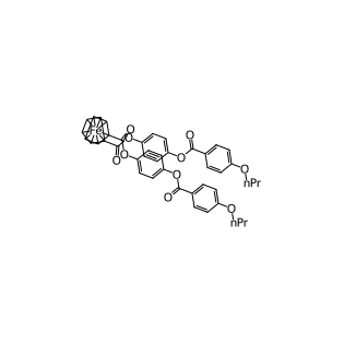 CCCOc1ccc(C(=O)Oc2ccc(OC(=O)[C]34[CH]5[CH]6[CH]7[CH]3[Fe]6754389%10[CH]4[CH]3[CH]8[C]9(C(=O)Oc3ccc(OC(=O)c5ccc(OCCC)cc5)cc3)[CH]4%10)cc2)cc1